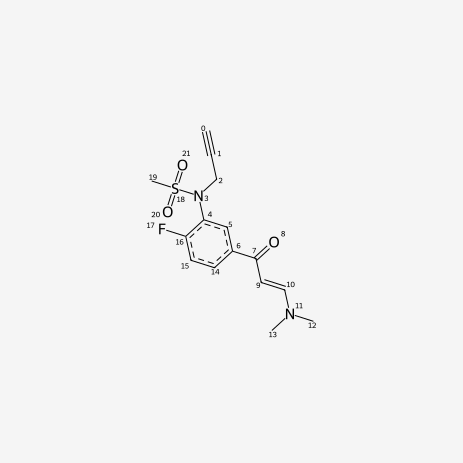 C#CCN(c1cc(C(=O)C=CN(C)C)ccc1F)S(C)(=O)=O